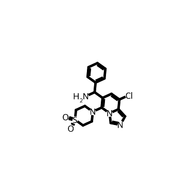 NC(c1ccccc1)c1cc(Cl)c2cncn2c1N1CCS(=O)(=O)CC1